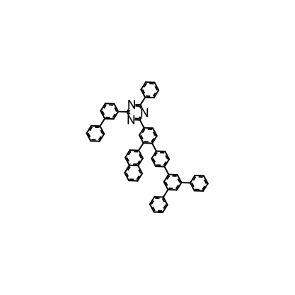 c1ccc(-c2cc(-c3ccccc3)cc(-c3ccc(-c4ccc(-c5nc(-c6ccccc6)nc(-c6cccc(-c7ccccc7)c6)n5)cc4-c4ccc5ccccc5c4)cc3)c2)cc1